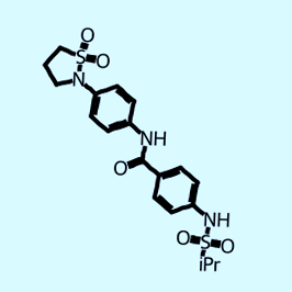 CC(C)S(=O)(=O)Nc1ccc(C(=O)Nc2ccc(N3CCCS3(=O)=O)cc2)cc1